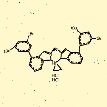 CC(C)C1=Cc2c(-c3cc(C(C)(C)C)cc(C(C)(C)C)c3)cccc2[CH]1[Hf]1([CH]2C(C(C)C)=Cc3c(-c4cc(C(C)(C)C)cc(C(C)(C)C)c4)cccc32)[CH2][CH2]1.Cl.Cl